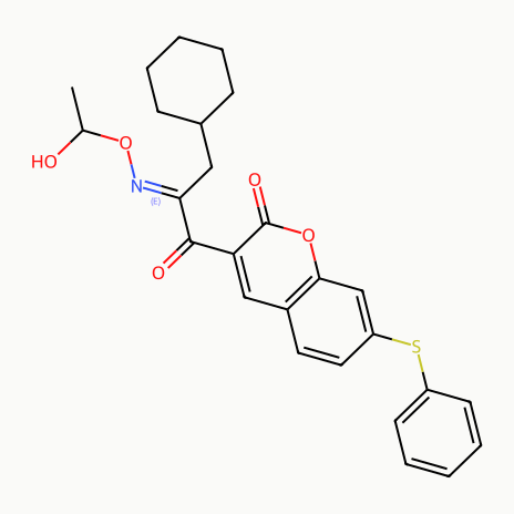 CC(O)O/N=C(\CC1CCCCC1)C(=O)c1cc2ccc(Sc3ccccc3)cc2oc1=O